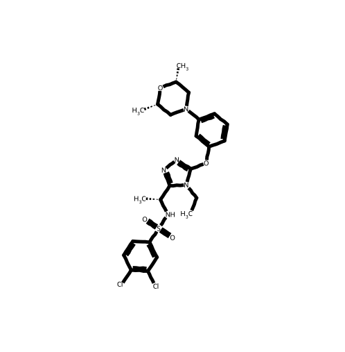 CCn1c(Oc2cccc(N3C[C@@H](C)O[C@@H](C)C3)c2)nnc1[C@@H](C)NS(=O)(=O)c1ccc(Cl)c(Cl)c1